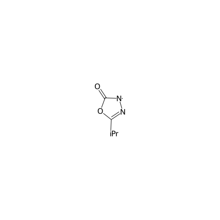 CC(C)C1=N[N]C(=O)O1